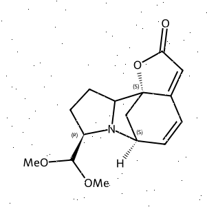 COC(OC)[C@H]1CCC2N1[C@@H]1C=CC3=CC(=O)O[C@@]32C1